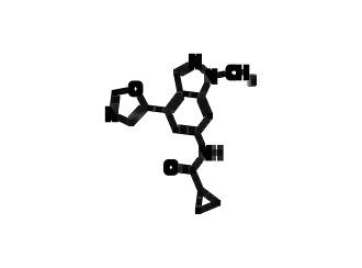 Cn1ncc2c(-c3cnco3)cc(NC(=O)C3CC3)cc21